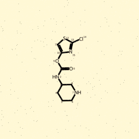 O=C(NC1CCCNC1)Oc1csc(Cl)n1